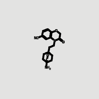 N#Cc1ccc2c(c1)N(CCC13CCC(N)(CC1)CO3)C(=O)CO2